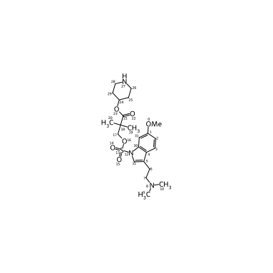 COc1ccc2c(CCN(C)C)cn(S(=O)(=O)OCC(C)(C)C(=O)OC3CCNCC3)c2c1